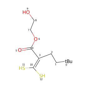 CC(C)(C)CCC(C(=O)OCCO)=C(S)S